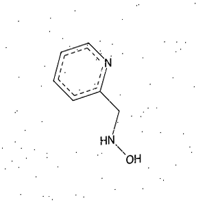 ONCc1ccccn1